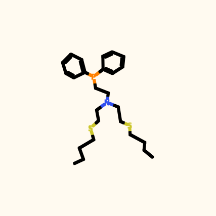 CCCCSCCN(CCSCCCC)CCP(c1ccccc1)c1ccccc1